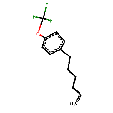 C=CCCCCc1ccc(OC(F)(F)F)cc1